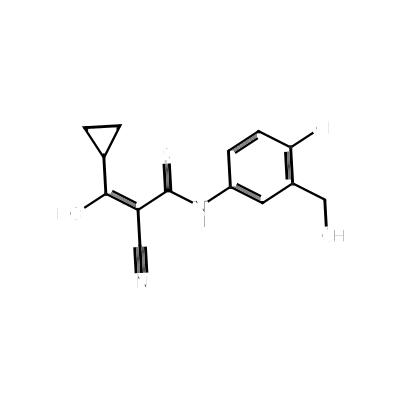 CCc1cc(NC(=S)/C(C#N)=C(/O)C2CC2)ccc1Cl